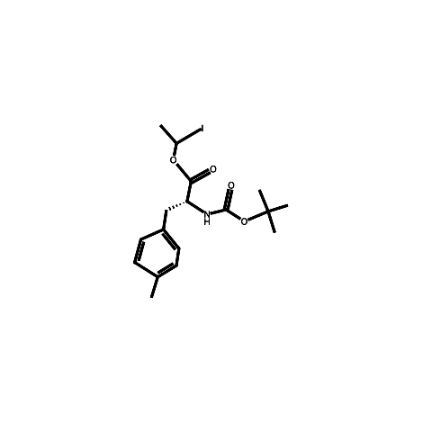 Cc1ccc(C[C@@H](NC(=O)OC(C)(C)C)C(=O)OC(C)I)cc1